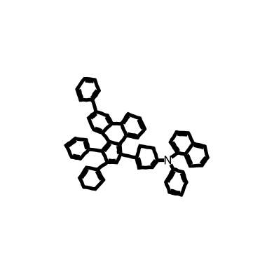 C1=CC(c2cc(C3=CC=C(N(c4ccccc4)c4cccc5ccccc45)CC3)c3c4ccccc4c4cc(-c5ccccc5)ccc4c3c2-c2ccccc2)=CCC1